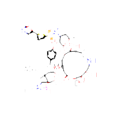 CCCNC[C@]1(O)[C@H](C)OC(O[C@H]2[C@H](C)[C@@H](O[C@@H]3O[C@H](C)C[C@H](N(C)S(=O)(=O)c4ccc(-c5cnco5)s4)[C@H]3Oc3ccc(OC)cc3)[C@](C)(O)C[C@@H](C)CN[C@H](C)[C@@H](O)[C@](C)(O)[C@@H](CC)OC(=O)[C@@H]2C)C[C@@]1(C)OC